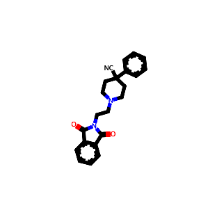 N#CC1(c2ccccc2)CCN(CCN2C(=O)c3ccccc3C2=O)CC1